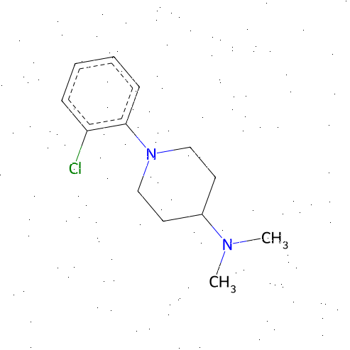 CN(C)C1CCN(c2ccccc2Cl)CC1